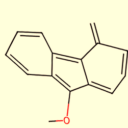 C=c1cccc2c1=c1ccccc1=C2OC